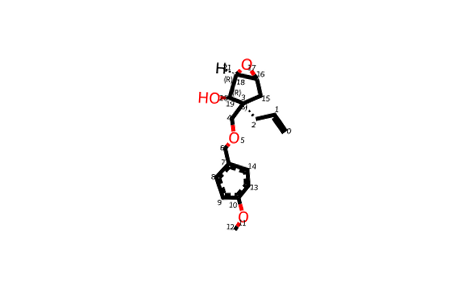 C=CC[C@@]1(COCc2ccc(OC)cc2)CC2O[C@@H]2[C@@H]1O